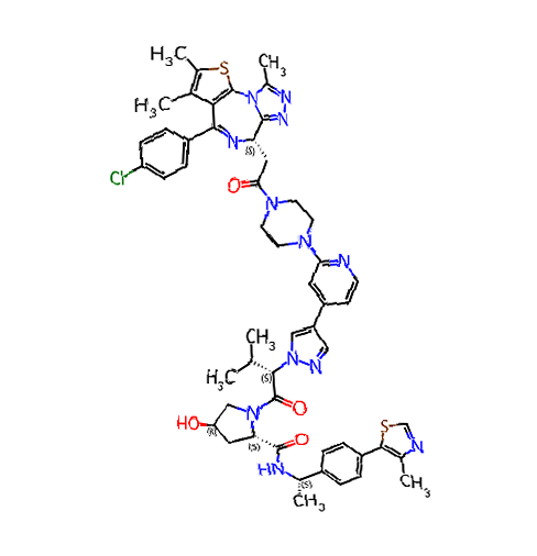 Cc1ncsc1-c1ccc([C@H](C)NC(=O)[C@@H]2C[C@@H](O)CN2C(=O)[C@H](C(C)C)n2cc(-c3ccnc(N4CCN(C(=O)C[C@@H]5N=C(c6ccc(Cl)cc6)c6c(sc(C)c6C)-n6c(C)nnc65)CC4)c3)cn2)cc1